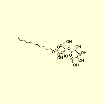 C=CCCCCCCCCCO[C@@H]1O[C@H](CO)C(OC2O[C@H](CO)C(O)[C@H](O)C2O)[C@H](O)[C@H]1O